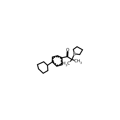 CC(C)(B1CCCC1)C(=O)c1ccc(C2CCCCC2)cc1